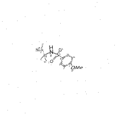 COc1ccc(S(=O)(=O)NC(C)(C)C(=O)O)cc1